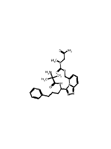 CN(CC(N)=O)C(=O)OCc1cccc2nnc(C(CCCc3ccccc3)NC(=O)C(C)(C)N)n12